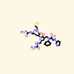 NC(=O)NCCCC(CN(C(=O)CNc1cccnc1)c1ccccc1)C(=O)NC(CCCNC(N)=O)C(=O)NCCS